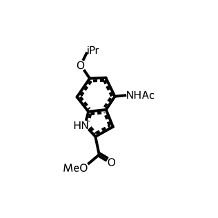 COC(=O)c1cc2c(NC(C)=O)cc(OC(C)C)cc2[nH]1